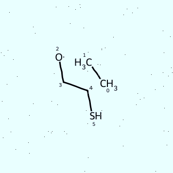 CC.[O]CCS